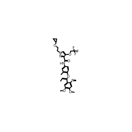 C=Nc1cc(OC)c(OC)cc1/C(=C\C)Oc1ccc(NC(=O)c2nn(CCOC3CC3)cc2OCC(F)(F)F)cc1C